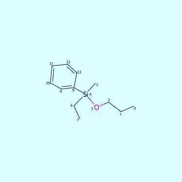 CCCO[Si](C)(CC)c1ccccc1